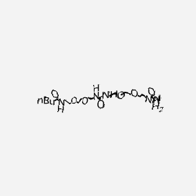 CCCCC(=O)NCCOCCOCCNC(=O)NCCOCCOCCNC(N)=O